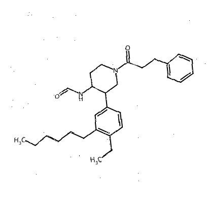 CCCCCCc1cc(C2CN(C(=O)CCc3ccccc3)CCC2NC=O)ccc1CC